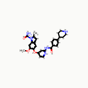 COc1cc2c(cc1Oc1ccnc(NC(=O)c3ccc(C4CCNCC4)cc3)c1)cc(C)n2C(N)=O